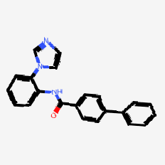 O=C(Nc1ccccc1-n1ccnc1)c1ccc(-c2ccccc2)cc1